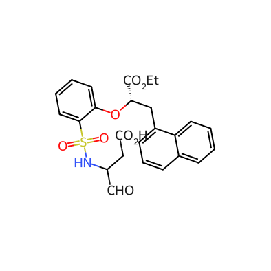 CCOC(=O)[C@H](Cc1cccc2ccccc12)Oc1ccccc1S(=O)(=O)NC(C=O)CC(=O)O